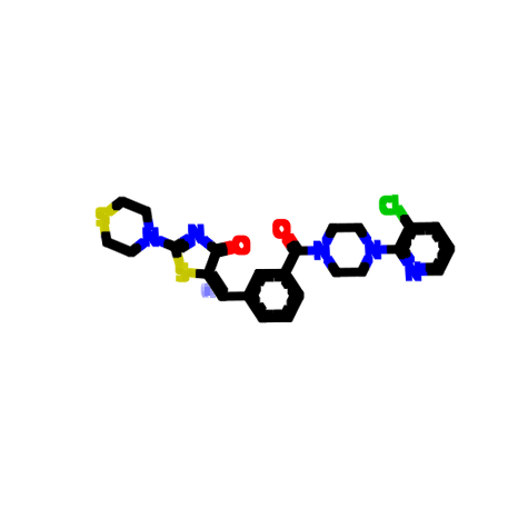 O=C1N=C(N2CCSCC2)S/C1=C/c1cccc(C(=O)N2CCN(c3ncccc3Cl)CC2)c1